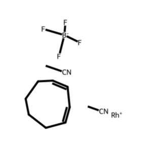 C1=C\CCCC\C=C/1.CC#N.CC#N.F[B-](F)(F)F.[Rh+]